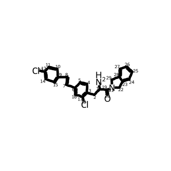 NC(Cc1ccc(C=Cc2ccc(Cl)cc2)cc1Cl)C(=O)N1Cc2ccccc2C1